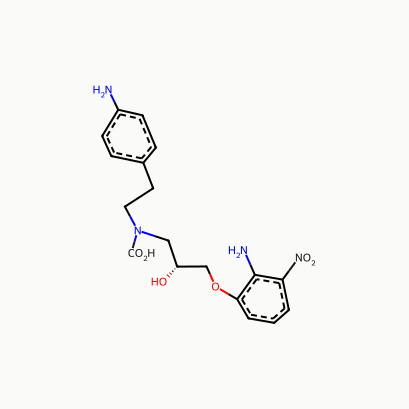 Nc1ccc(CCN(C[C@@H](O)COc2cccc([N+](=O)[O-])c2N)C(=O)O)cc1